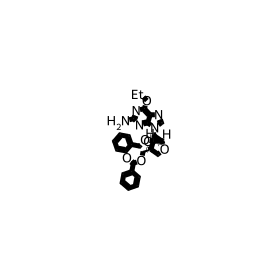 CCOc1nc(N)nc2c1ncn2[C@@H]1O[C@@]2(COC(=O)c3ccccc3)CO[C@@H]1[C@@H]2OCc1ccccc1